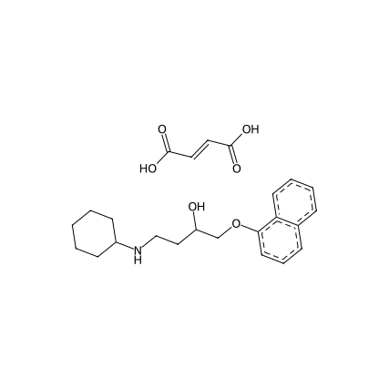 O=C(O)C=CC(=O)O.OC(CCNC1CCCCC1)COc1cccc2ccccc12